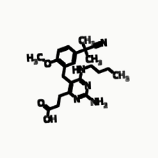 CCCCNc1nc(N)nc(CCC(=O)O)c1Cc1cc(C(C)(C)C#N)ccc1OC